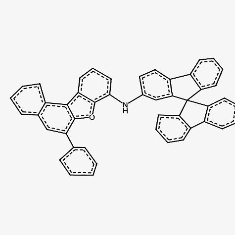 c1ccc(-c2cc3ccccc3c3c2oc2c(Nc4ccc5c(c4)C4(c6ccccc6-c6ccccc64)c4ccccc4-5)cccc23)cc1